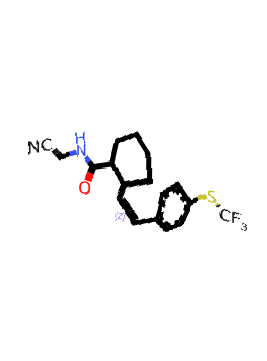 N#CCNC(=O)C1CCCCC1/C=C\c1ccc(SC(F)(F)F)cc1